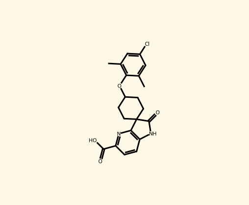 Cc1cc(Cl)cc(C)c1OC1CCC2(CC1)C(=O)Nc1ccc(C(=O)O)nc12